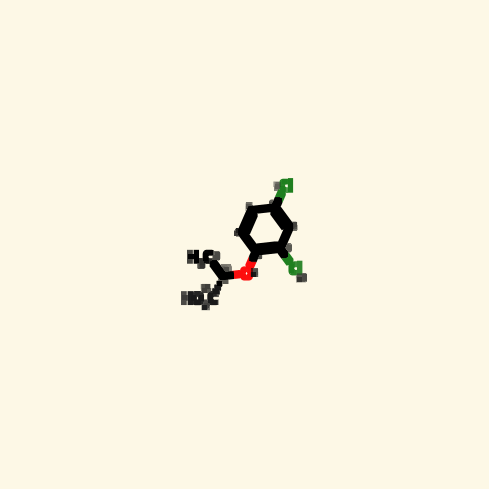 C[C@H](Oc1ccc(Cl)cc1Cl)C(=O)O